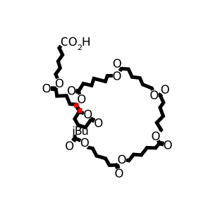 CCC(C)C(=O)OCCCCCC(=O)OCCCCCC(=O)OCCCCCC(=O)OCCCCCC(=O)OCCCCCC(=O)OCCCCCC(=O)OCCCCCC(=O)OCCCCCC(=O)O